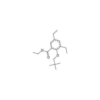 CCOC(=O)c1cc(CC)cc(CC)c1OCC(C)(C)C